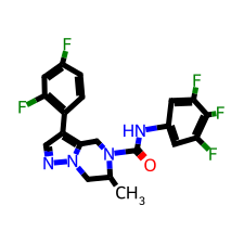 CC1Cn2ncc(-c3ccc(F)cc3F)c2CN1C(=O)Nc1cc(F)c(F)c(F)c1